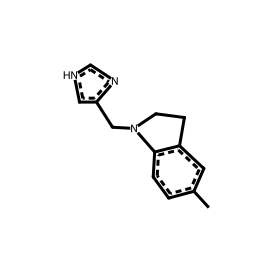 Cc1ccc2c(c1)CCN2Cc1c[nH]cn1